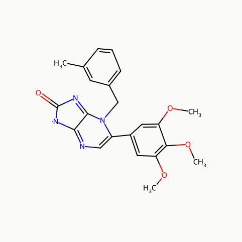 COc1cc(C2=CN=C3[N]C(=O)N=C3N2Cc2cccc(C)c2)cc(OC)c1OC